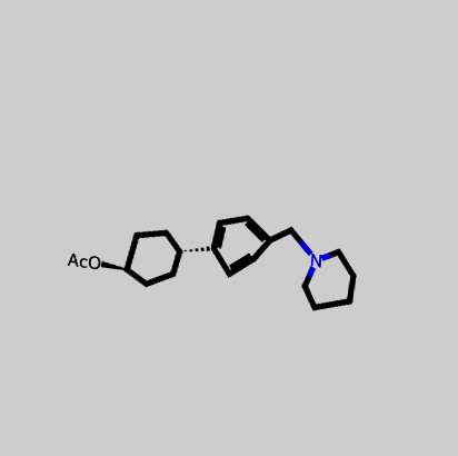 CC(=O)O[C@H]1CC[C@H](c2ccc(CN3CCCCC3)cc2)CC1